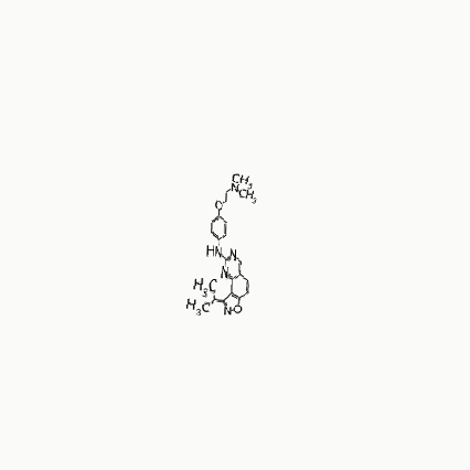 CC(C)c1noc2ccc3cnc(Nc4ccc(OCCN(C)C)cc4)nc3c12